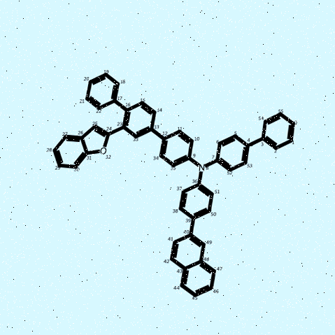 c1ccc(-c2ccc(N(c3ccc(-c4ccc(-c5ccccc5)c(-c5cc6ccccc6o5)c4)cc3)c3ccc(-c4ccc5ccccc5c4)cc3)cc2)cc1